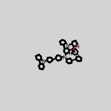 C[C@@H]1C[C@H]2CCC[C@@H](C1)C21c2ccccc2-n2c3ccccc3c3cc(N(c4ccc(-c5ccc(-n6c7ccccc7c7ccccc76)cc5)cc4)c4cccc(-c5ccccc5)c4)cc1c32